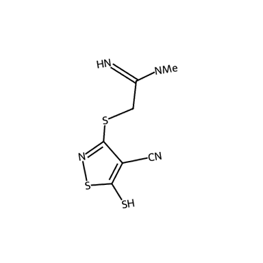 CNC(=N)CSc1nsc(S)c1C#N